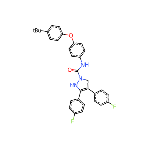 CC(C)(C)c1ccc(Oc2ccc(NC(=O)N3CC(c4ccc(F)cc4)=C(c4ccc(F)cc4)N3)cc2)cc1